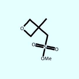 COS(=O)(=O)CC1(C)COC1